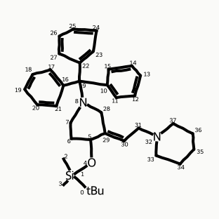 CC(C)(C)[Si](C)(C)OC1CCN(C(c2ccccc2)(c2ccccc2)c2ccccc2)CC1=CCN1CCCCC1